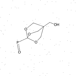 O=PC12OCC(CO)(CO1)CO2